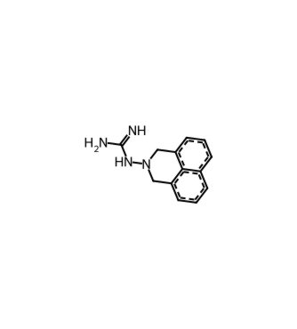 N=C(N)NN1Cc2cccc3cccc(c23)C1